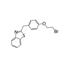 BrCCOc1ccc(Cc2nc3ccccc3s2)cc1